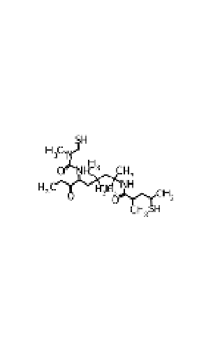 CCC(=O)C(CC(C)(C)CC(C)(C)NC(=O)C(C)CC(C)S)NC(=O)N(C)CS